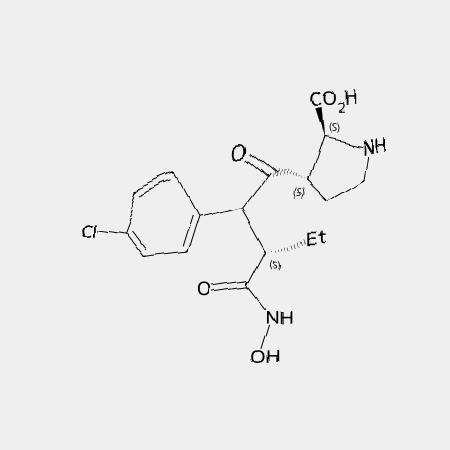 CC[C@H](C(=O)NO)C(C(=O)[C@H]1CCN[C@@H]1C(=O)O)c1ccc(Cl)cc1